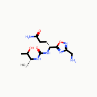 CC(O)[C@H](NC(=O)N[C@H](CCC(N)=O)c1nc(CN)no1)C(=O)O